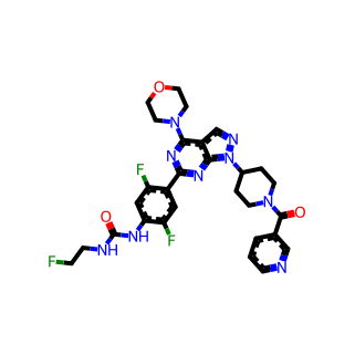 O=C(NCCF)Nc1cc(F)c(-c2nc(N3CCOCC3)c3cnn(C4CCN(C(=O)c5cccnc5)CC4)c3n2)cc1F